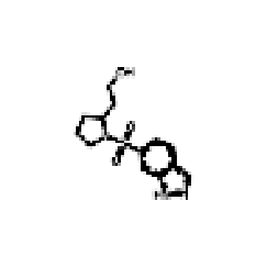 O=S(=O)(c1ccc2cn[nH]c2c1)N1CCCC1CCO